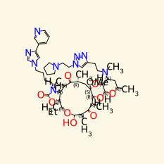 CC[C@H]1OC(O)[C@H](C)C(=O)[C@H](C)[C@H]2O[C@@H]3O[C@H](C)C[C@H](N(C)CCc4cn(CCN5CCCC5)nn4)[C@H]3O[C@@]2(OC)C[C@@H](C)C(=O)[C@H](C)[C@H]2N(CCCCn3cnc(-c4cccnc4)c3)C(=O)O[C@]12C